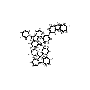 c1ccc(-n2c3ccccc3c3c(N(c4ccc(-c5ccc6sc7ccccc7c6c5)cc4)c4cccc5c4-c4ccccc4C54c5ccccc5-c5ccccc54)cccc32)cc1